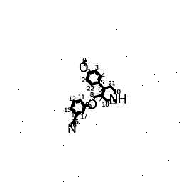 COc1ccc(C2=C(COc3cccc(C#N)c3)CNCC2)cc1